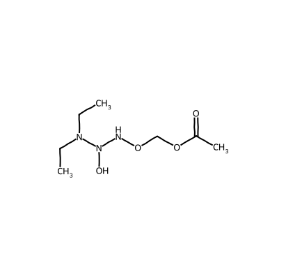 CCN(CC)N(O)NOCOC(C)=O